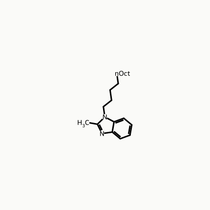 CCCCCCCCCCCCn1c(C)nc2ccccc21